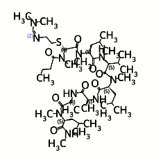 CCCC(=O)N(C)[C@H](SCC/N=C\N(C)C)C(=O)N(C)[C@@H](CC(C)C)C(=O)N[C@H](C(=O)N(C)[C@@H](CC(C)C)C(=O)N[C@@H](C)C(=O)N[C@H](C)C(=O)N(C)[C@@H](CC(C)C)C(=O)NC)C(C)C